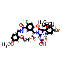 COc1ccc(CNC(=O)c2cc([C@@H](CO)N3C(=O)[C@@](CC(C)(C)C)(c4ccc(Br)cc4F)N/C3=N\C(=O)O)ccc2Cl)c(OC)c1